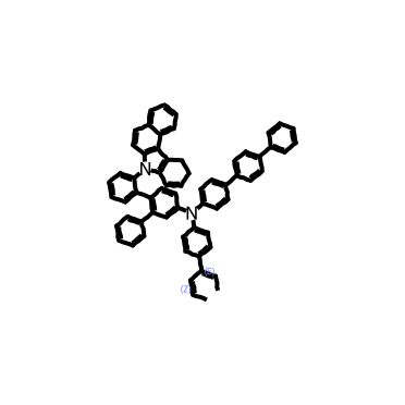 C/C=C\C(=C/C)c1ccc(N(c2ccc(-c3ccc(-c4ccccc4)cc3)cc2)c2ccc(-c3ccccc3-n3c4c(c5c6ccccc6ccc53)CCC=C4)c(-c3ccccc3)c2)cc1